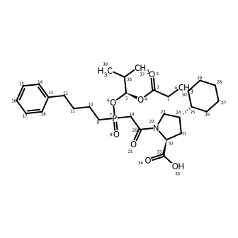 CCC(=O)O[C@@H](OP(=O)(CCCCc1ccccc1)CC(=O)N1C[C@H](C2CCCCC2)C[C@H]1C(=O)O)C(C)C